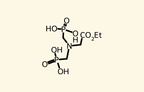 CCOC(=O)CN(CP(=O)(O)O)CP(=O)(O)O